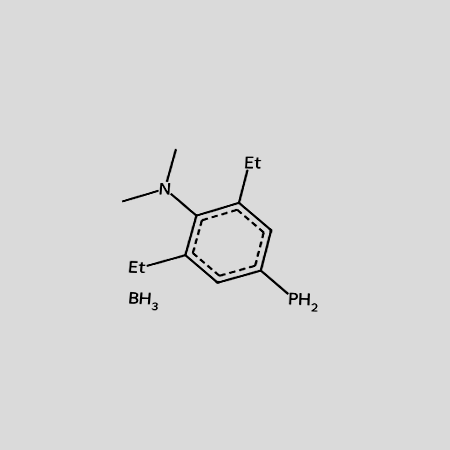 B.CCc1cc(P)cc(CC)c1N(C)C